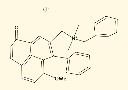 COc1ccc2c3c(cc(C[N+](C)(C)Cc4ccccc4)c(-c4ccccc4)c13)C(=O)C=C2.[Cl-]